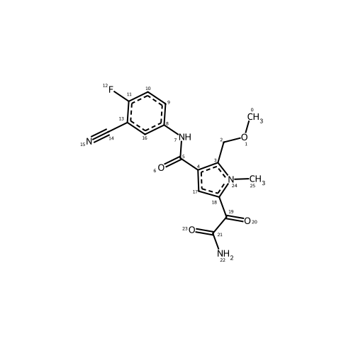 COCc1c(C(=O)Nc2ccc(F)c(C#N)c2)cc(C(=O)C(N)=O)n1C